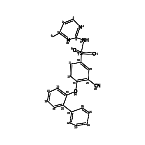 Cc1ccnc(NS(=O)(=O)c2ccc(Oc3ccccc3-c3ccccc3)c(C#N)c2)n1